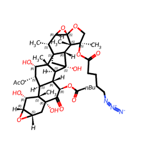 CCCCC(=O)O[C@H]1C(=O)[C@@]2(O)C[C@@H]3O[C@@H]3[C@H](O)[C@]2(C)[C@H]2[C@H](OC(C)=O)[C@H](O)[C@@]3(C)[C@H]([C@@H]21)[C@@]1(O)C[C@@]32[C@H](C)[C@H]3O[C@]34OC[C@@](C)(OC(=O)CCCCN=[N+]=[N-])[C@]4(C)[C@H]12